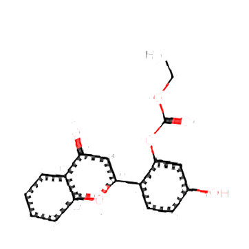 CCOC(=O)Oc1cc(O)ccc1-c1cc(=O)c2ccccc2o1